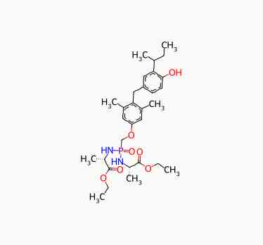 CCOC(=O)[C@H](C)NP(=O)(COc1cc(C)c(Cc2ccc(O)c(C(C)CC)c2)c(C)c1)N[C@@H](C)C(=O)OCC